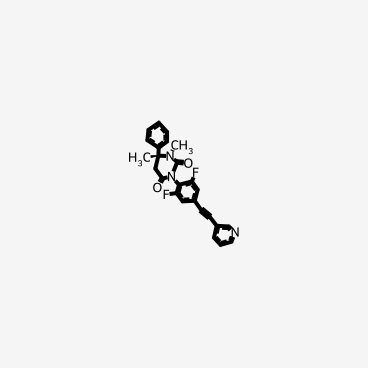 CN1C(=O)N(c2c(F)cc(C#Cc3cccnc3)cc2F)C(=O)C[C@]1(C)c1ccccc1